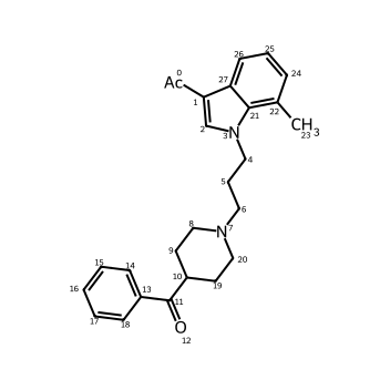 CC(=O)c1cn(CCCN2CCC(C(=O)c3ccccc3)CC2)c2c(C)cccc12